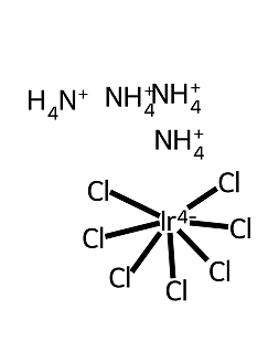 [Cl][Ir-4]([Cl])([Cl])([Cl])([Cl])([Cl])[Cl].[NH4+].[NH4+].[NH4+].[NH4+]